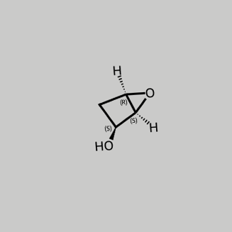 O[C@H]1C[C@H]2O[C@@H]12